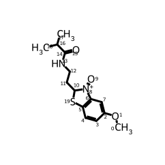 COc1ccc2c(c1)[N+](=O)C(CCNC(=O)C(C)C)S2